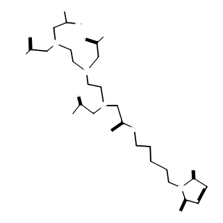 O=C(O)CN(CCN(CC(=O)O)CC(=O)NCCCCCN1C(=O)C=CC1=O)CCN(CC(=O)O)CC(O)O